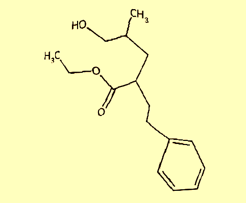 CCOC(=O)C(CCc1ccccc1)CC(C)CO